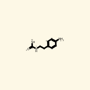 Nc1ccc(CCNC(=O)S)cc1